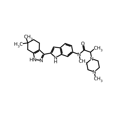 CC(C(=O)N(C)c1ccc2cc(-c3n[nH]c4c3CCC(C)(C)C4)[nH]c2c1)N1CCN(C)CC1